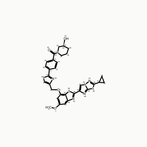 COc1cc(OCc2csc(-c3ccc(C(=O)N4CCC[C@H](O)C4)cc3)n2)c2sc(-c3cn4nc(C5CC5)sc4n3)nc2c1